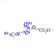 CCOC(=O)CCc1cccc(CN(Cc2ncc[nH]2)Cc2nccn2CCCN2CCC3(CCN(CC(C)C)CC3)C2)c1